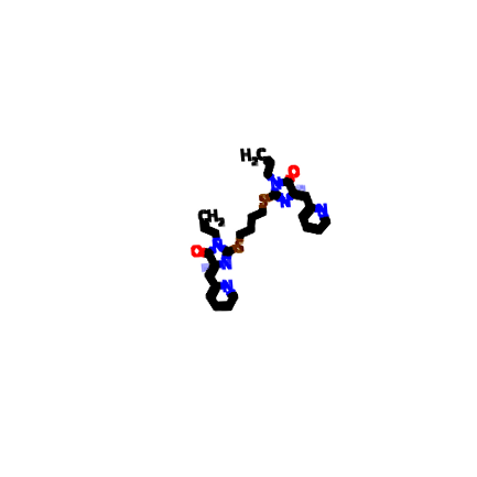 C=CCN1C(=O)/C(=C/c2ccccn2)N=C1SCCCCSC1=N/C(=C\c2ccccn2)C(=O)N1CC=C